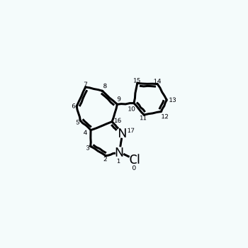 ClN1C=CC2=CC=CC=C(c3ccccc3)C2=N1